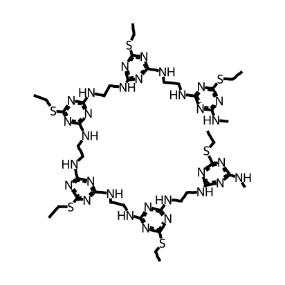 CCSc1nc(NC)nc(NCCNc2nc(NCCNc3nc(NCCNc4nc(NCCNc5nc(NCCNc6nc(NC)nc(SCC)n6)nc(SCC)n5)nc(SCC)n4)nc(SCC)n3)nc(SCC)n2)n1